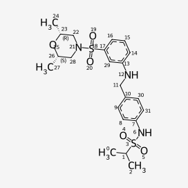 CC(C)S(=O)(=O)Nc1ccc(CNc2cccc(S(=O)(=O)N3C[C@@H](C)O[C@@H](C)C3)c2)cc1